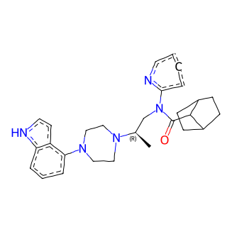 C[C@H](CN(C(=O)C1C2CCC1CC2)c1ccccn1)N1CCN(c2cccc3[nH]ccc23)CC1